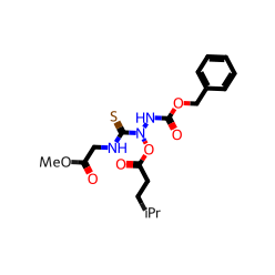 COC(=O)CNC(=S)N(NC(=O)OCc1ccccc1)OC(=O)CCC(C)C